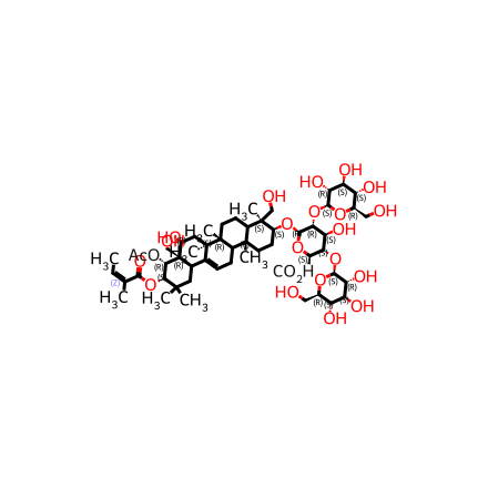 C/C=C(/C)C(=O)O[C@@H]1[C@H](OC(C)=O)[C@@]2(CO)C(CC1(C)C)C1=CCC3[C@@]4(C)CC[C@H](O[C@@H]5O[C@H](C(=O)O)[C@@H](O[C@@H]6O[C@H](CO)[C@@H](O)[C@H](O)[C@H]6O)[C@H](O)[C@H]5O[C@@H]5O[C@H](CO)[C@@H](O)[C@H](O)[C@H]5O)[C@](C)(CO)C4CC[C@@]3(C)[C@]1(C)C[C@H]2O